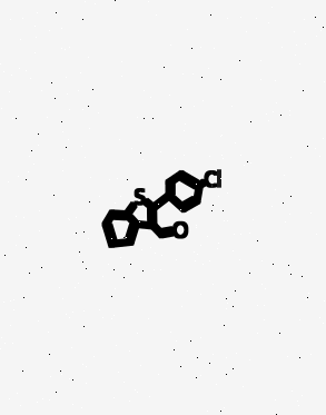 O=Cc1c(-c2ccc(Cl)cc2)sc2ccccc12